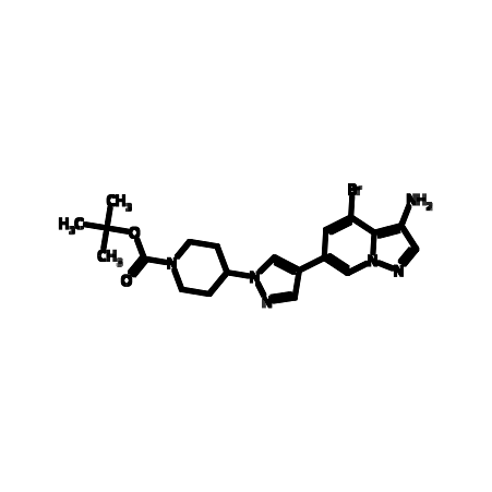 CC(C)(C)OC(=O)N1CCC(n2cc(-c3cc(Br)c4c(N)cnn4c3)cn2)CC1